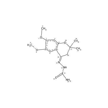 COc1cc2c(cc1OC)/C(=N/NC(N)=S)CC(C)(C)O2